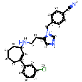 N#Cc1ccc(Cn2cncc2CCNC2C=C(c3cccc(Cl)c3)CCCC2)cc1